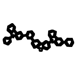 c1ccc(-c2ccc3c(c2)c2ccccc2n3-c2ccc3oc4ccc(-c5cccc(-c6ccc7c(c6)c6ccccc6n7-c6ccccc6)c5)cc4c3c2)cc1